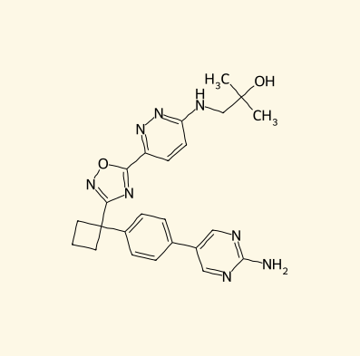 CC(C)(O)CNc1ccc(-c2nc(C3(c4ccc(-c5cnc(N)nc5)cc4)CCC3)no2)nn1